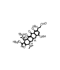 CCCCOc1noc2c1C(=O)[C@@]1(O[Si](C)(C)C(C)(C)C)C(O)=C3C(=O)c4c(c(OC)cc(CCC=O)c4OCCCC)C[C@H]3C[C@H]1[C@@H]2N(C)C